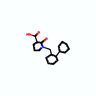 O=C(O)c1cccn(Cc2ccccc2-c2ccccc2)c1=O